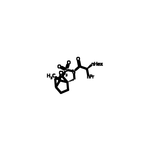 CCCCCC[C@@H](CCC)C(=O)N1C[C@@]23CCC(CC2S1(=O)=O)C3(C)C